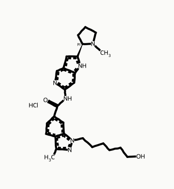 Cc1nn(CCCCCCO)c2cc(C(=O)Nc3cc4[nH]c([C@H]5CCCN5C)cc4cn3)ccc12.Cl